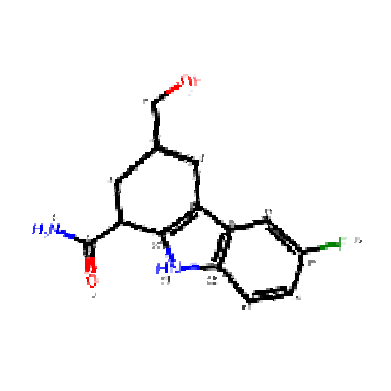 NC(=O)C1CC(CO)Cc2c1[nH]c1ccc(F)cc21